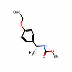 C[C@@H](NC(=O)OC(C)(C)C)c1ccc(OCC=O)cc1